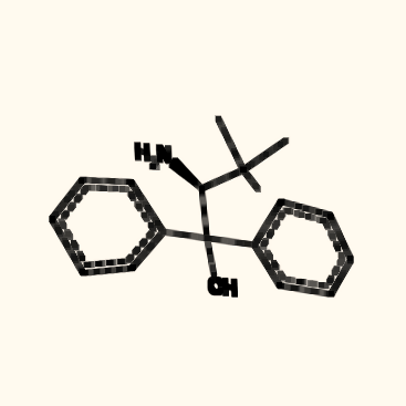 CC(C)(C)[C@H](N)C(O)(c1ccccc1)c1ccccc1